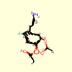 CC(=O)Oc1cc(F)c(CCN)cc1OC(C)=O